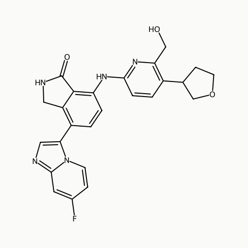 O=C1NCc2c(-c3cnc4cc(F)ccn34)ccc(Nc3ccc(C4CCOC4)c(CO)n3)c21